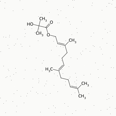 CC(C)=CCCC(C)=CCCC(C)=CCOC(=O)C(C)(C)O